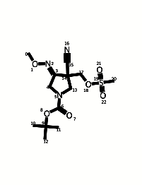 CO/N=C1\CN(C(=O)OC(C)(C)C)CC1(C#N)COS(C)(=O)=O